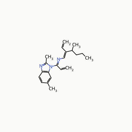 C=C/C(=C\N=C(/C=C)n1c(C)nc2ccc(C)cc21)C(C)CCC